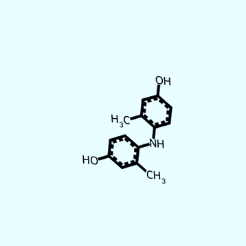 Cc1cc(O)ccc1Nc1ccc(O)cc1C